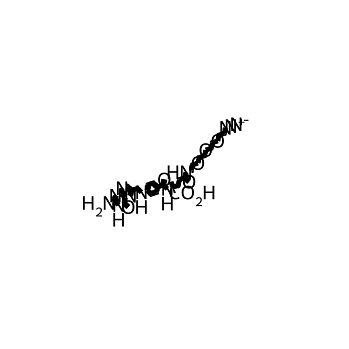 C[C@](CCC(=O)NCCOCCOCCOCCN=[N+]=[N-])(NC(=O)c1ccc(NCc2cnc3nc(N)[nH]c(=O)c3n2)cc1)C(=O)O